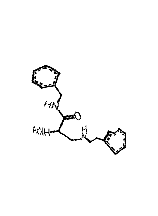 CC(=O)NC(CNCc1ccccc1)C(=O)NCc1ccccc1